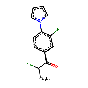 CCOC(=O)C(F)C(=O)c1ccc(-n2cccc2)c(F)c1